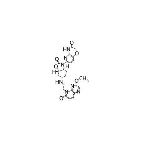 COc1cnc2ccc(=O)n(CCN[C@H]3CC[C@H]4[C@H](C3)OC(=O)N4c3ccc4c(n3)NC(=O)CO4)c2n1